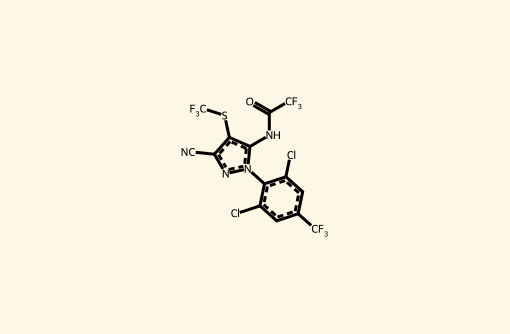 N#Cc1nn(-c2c(Cl)cc(C(F)(F)F)cc2Cl)c(NC(=O)C(F)(F)F)c1SC(F)(F)F